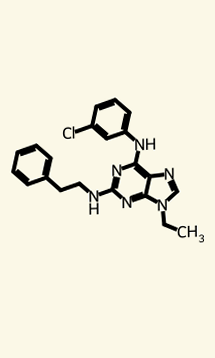 CCn1cnc2c(Nc3cccc(Cl)c3)nc(NCCc3ccccc3)nc21